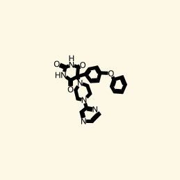 O=C1NC(=O)C(c2ccc(Oc3ccccc3)cc2)(N2CCN(c3cnccn3)CC2)C(=O)N1